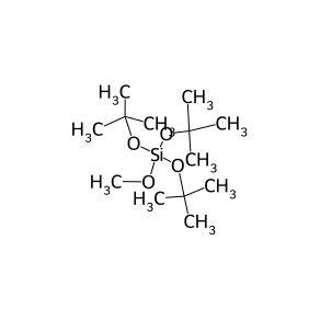 CO[Si](OC(C)(C)C)(OC(C)(C)C)OC(C)(C)C